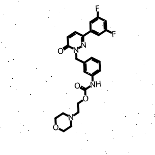 O=C(Nc1cccc(Cn2nc(-c3cc(F)cc(F)c3)ccc2=O)c1)OCCN1CCOCC1